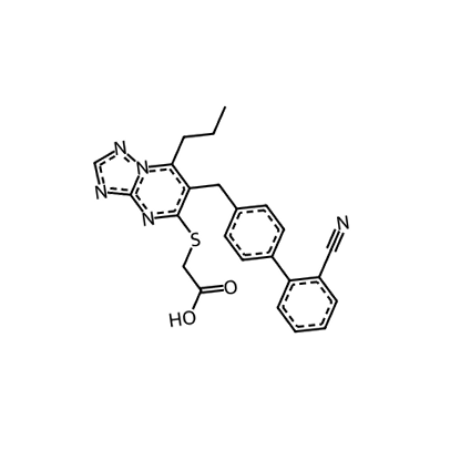 CCCc1c(Cc2ccc(-c3ccccc3C#N)cc2)c(SCC(=O)O)nc2ncnn12